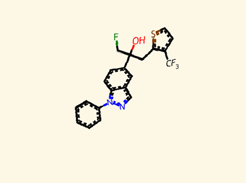 OC(CF)(Cc1sccc1C(F)(F)F)c1ccc2c(cnn2-c2ccccc2)c1